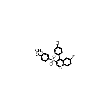 COc1ccc(S(=O)(=O)c2cnc3ccc(F)cc3c2-c2ccc(Cl)cc2)cc1